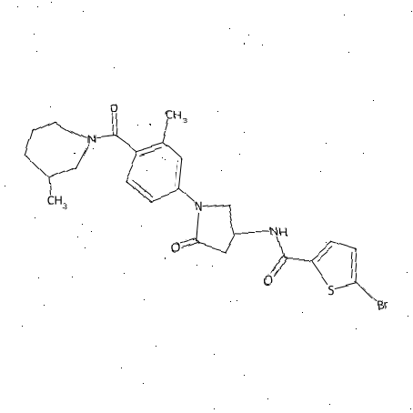 Cc1cc(N2CC(NC(=O)c3ccc(Br)s3)CC2=O)ccc1C(=O)N1CCCC(C)C1